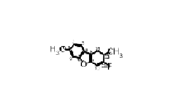 Cc1ccc2c3c(oc2c1)C=C(F)C(C)C3